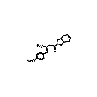 COc1ccc(C=C(CC(=O)N2CC3CC=CCC3C2)C(=O)O)cc1